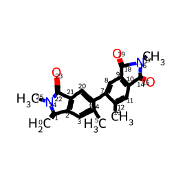 C=C1c2cc(C)c(-c3cc4c(cc3C)C(=O)N(C)C4=O)cc2C(=O)N1C